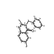 Cc1ccc2nc(C)n(Cc3ccccn3)c(=O)c2c1